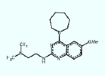 COc1ccc2nc(NCCN(C)C)nc(N3CCCCCC3)c2c1